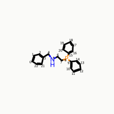 c1ccc(CNCCP(c2ccccc2)c2ccccc2)cc1